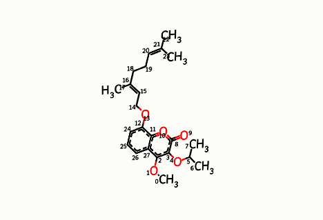 COc1c(OC(C)C)c(=O)oc2c(OC/C=C(\C)CCC=C(C)C)cccc12